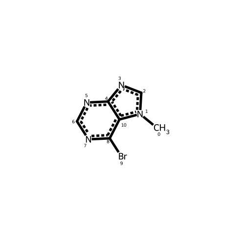 Cn1cnc2ncnc(Br)c21